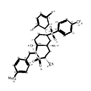 CC[C@H]1C[C@@H]2C[C@](C3CC(F)=CC=C3F)(S(=O)(=O)c3ccc(C(F)(F)F)cc3)CC[C@@H]2N(Cc2ccc(OC)cc2)S1(=O)=O